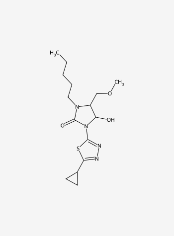 CCCCCN1C(=O)N(c2nnc(C3CC3)s2)C(O)C1COC